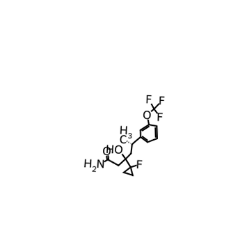 C[C@@H](CC(O)(CC(N)=O)C1(F)CC1)c1cccc(OC(F)(F)F)c1